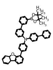 CC1(C)OB(c2cccc(-c3cccc(N(c4ccc(-c5ccccc5)cc4)c4ccc(-c5cccc6c5OC5C=CC=CC65)cc4)c3)c2)OC1(C)C